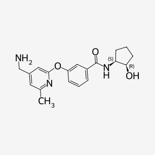 Cc1cc(CN)cc(Oc2cccc(C(=O)N[C@H]3CCC[C@H]3O)c2)n1